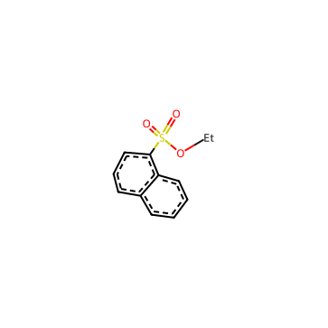 CCOS(=O)(=O)c1cccc2ccccc12